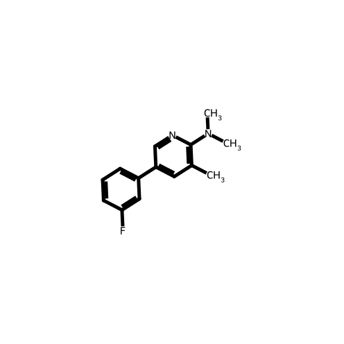 Cc1cc(-c2cccc(F)c2)cnc1N(C)C